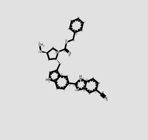 CO[C@@H]1C[C@@H](Cc2c[nH]c3ccc(-c4nc5cc(C#N)ccc5[nH]4)cc23)N(C(=O)OCc2ccccc2)C1